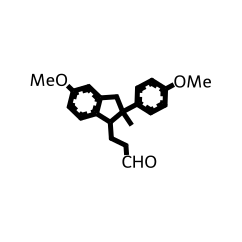 COc1ccc(C2(C)Cc3cc(OC)ccc3C2CCC=O)cc1